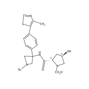 CC(=O)N1CC(NC(=O)[C@@H]2C[C@@H](O)CN2C(=O)O)(c2ccc(-c3scnc3C)cc2)C1